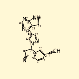 C#Cc1cccc(C(CC#N)n2cc(-c3ncnc4[nH]ccc34)cn2)c1